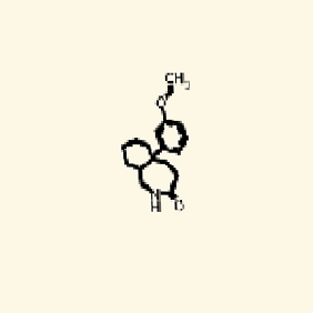 CCOc1cccc(C23CCCCC2CNC(=O)CC3)c1